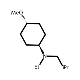 CCN(CC(C)C)[C@H]1CC[C@H](OC)CC1